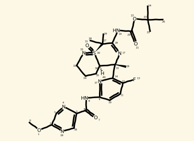 COc1cnc(C(=O)Nc2ccc(F)c([C@@]3(C)N=C(NC(=O)OC(C)(C)C)C(C)(C)[S@]4(=O)=NCCC[C@H]34)n2)cn1